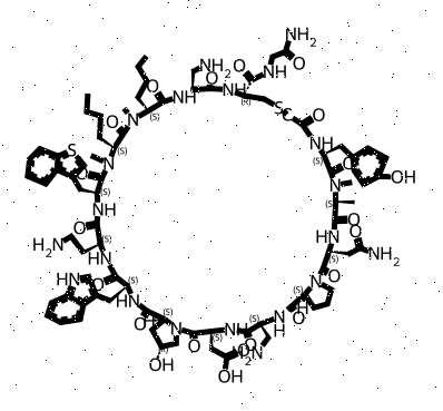 CCCC[C@H]1C(=O)N(C)[C@@H](CCCC)C(=O)N[C@@H](CN)C(=O)N[C@H](C(=O)NCC(N)=O)CSCC(=O)N[C@@H](Cc2ccc(O)cc2)C(=O)N(C)[C@@H](C)C(=O)N[C@@H](CC(N)=O)C(=O)N2CCC[C@H]2C(=O)N[C@@H](CN)C(=O)N[C@@H](CC(=O)O)C(=O)N2C[C@H](O)C[C@H]2C(=O)N[C@@H](Cc2c[nH]c3ccccc23)C(=O)N[C@@H](CCN)C(=O)N[C@@H](Cc2csc3ccccc23)C(=O)N1C